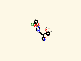 COc1cccc2c1CC(=CCCN1CCN(S(=O)(=O)c3ccccc3Cl)CC1)c1cccnc1O2